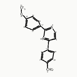 O=Cc1ccc(-c2ccnc(-c3ccc(OC(F)(F)F)cc3)n2)cc1